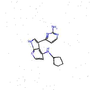 Nc1nccc(-c2c[nH]c3nccc(NC4CCCC4)c23)n1